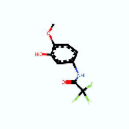 COc1ccc(NC(=O)C(F)(F)F)cc1O